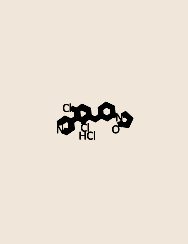 Cl.O=C1CCCN1C1CCCC(Cc2ccc(Cl)c(-c3ccncc3)c2Cl)C1